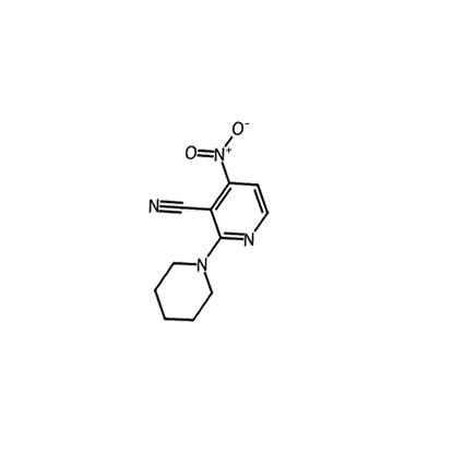 N#Cc1c([N+](=O)[O-])ccnc1N1CCCCC1